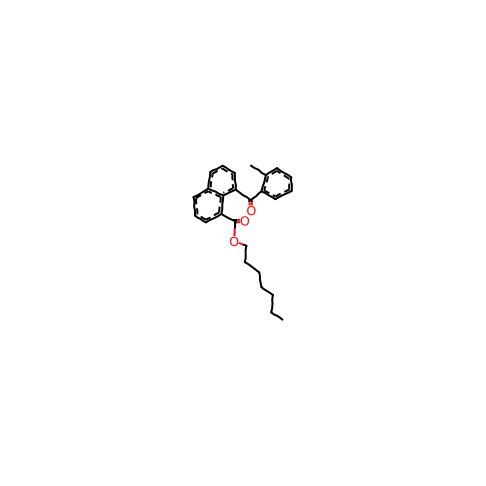 CCCCCCCOC(=O)c1cccc2cccc(C(=O)c3ccccc3C)c12